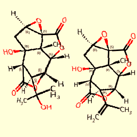 C=C(C)[C@@H]1[C@H]2OC(=O)[C@@H]1[C@]1(O)C[C@H]3O[C@]34C(=O)O[C@H]2[C@]14C.CC(C)(O)[C@@H]1[C@H]2OC(=O)[C@@H]1[C@]1(O)C[C@H]3O[C@]34C(=O)O[C@H]2[C@]14C